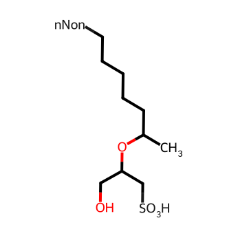 CCCCCCCCCCCCCCC(C)OC(CO)CS(=O)(=O)O